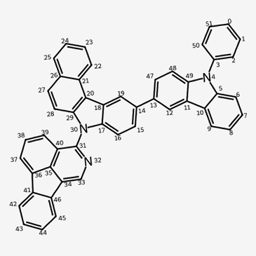 c1ccc(-n2c3ccccc3c3cc(-c4ccc5c(c4)c4c6ccccc6ccc4n5-c4ncc5c6c(cccc46)-c4ccccc4-5)ccc32)cc1